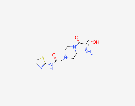 N[C@H](CO)C(=O)N1CCN(CC(=O)Nc2nccs2)CC1